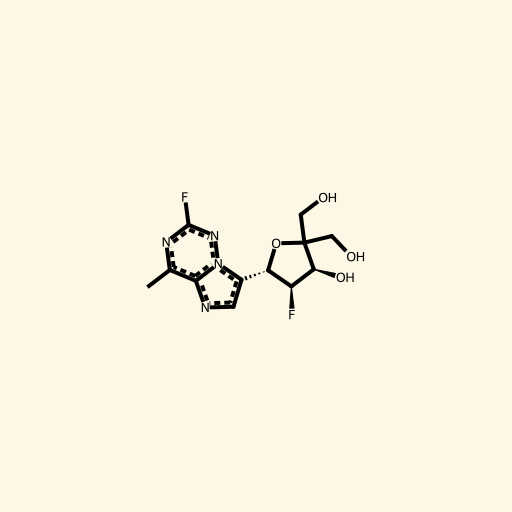 Cc1nc(F)nn2c([C@@H]3OC(CO)(CO)[C@@H](O)[C@H]3F)cnc12